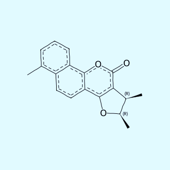 Cc1cccc2c1ccc1c3c(c(=O)oc12)[C@@H](C)[C@@H](C)O3